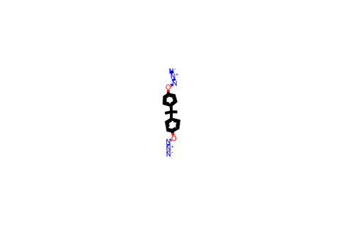 CC(C)(c1ccc(ON=[N+]=[N-])cc1)c1ccc(ON=[N+]=[N-])cc1